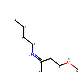 CCCCN=C(C)CCOC